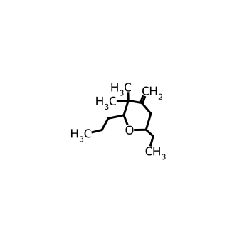 C=C1CC(CC)OC(CCC)C1(C)C